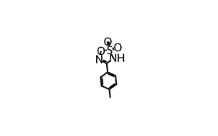 Cc1ccc(C2=NOS(=O)(=O)N2)cc1